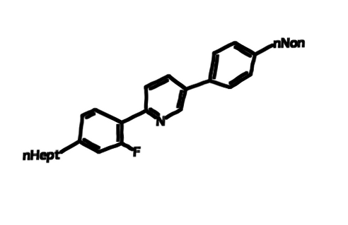 CCCCCCCCCc1ccc(-c2ccc(-c3ccc(CCCCCCC)cc3F)nc2)cc1